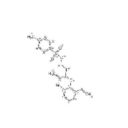 C=Cc1cccc(Br)c1OC(C=C)CCOS(=O)(=O)c1ccc(C)cc1